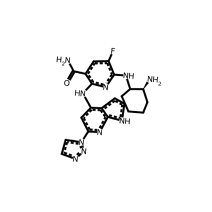 NC(=O)c1cc(F)c(NC2CCCC[C@@H]2N)nc1Nc1cc(-n2ccnn2)nc2[nH]ccc12